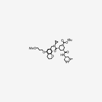 COCCCOc1cc(CN(C(=O)[C@@H]2C[C@H](C(=O)N[C@H](CC(C)C)CN(C)C)CN(C(=O)OC(C)(C)C)C2)C2CC2)cc2c1CCCO2